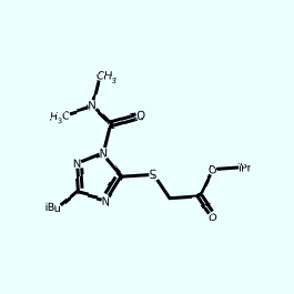 CCC(C)c1nc(SCC(=O)OC(C)C)n(C(=O)N(C)C)n1